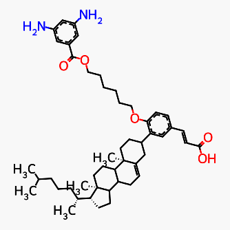 CC(C)CCC[C@@H](C)[C@H]1CCC2C3CC=C4CC(c5cc(C=CC(=O)O)ccc5OCCCCCCOC(=O)c5cc(N)cc(N)c5)CC[C@]4(C)C3CC[C@@]21C